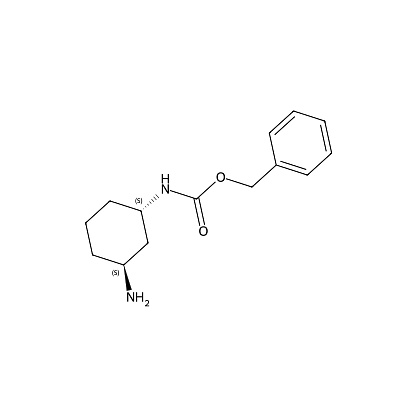 N[C@H]1CCC[C@H](NC(=O)OCc2ccccc2)C1